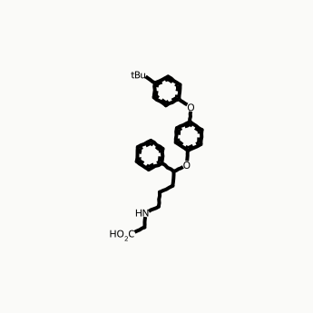 CC(C)(C)c1ccc(Oc2ccc(OC(CCCNCC(=O)O)c3ccccc3)cc2)cc1